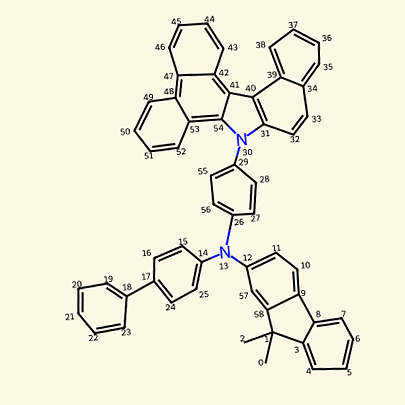 CC1(C)c2ccccc2-c2ccc(N(c3ccc(-c4ccccc4)cc3)c3ccc(-n4c5ccc6ccccc6c5c5c6ccccc6c6ccccc6c54)cc3)cc21